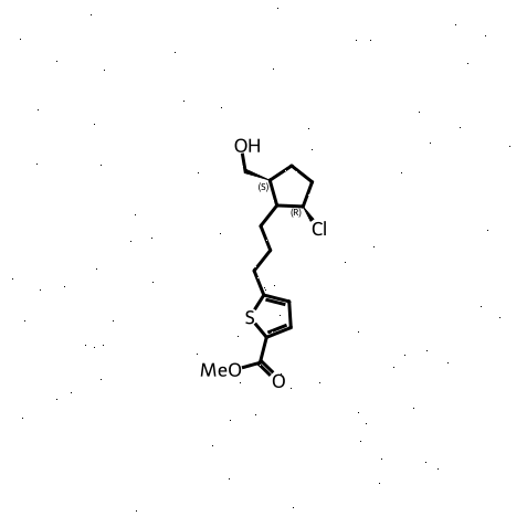 COC(=O)c1ccc(CCCC2[C@@H](CO)CC[C@H]2Cl)s1